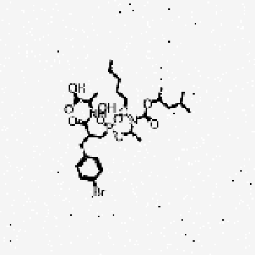 CCCCCON(C(=O)OC(C)CC(C)C)C(C)OP(=O)(CC(Cc1ccc(Br)cc1)C(=O)NC(C)C(=O)O)OO